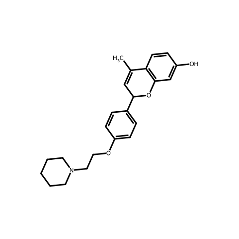 CC1=CC(c2ccc(OCCN3CCCCC3)cc2)Oc2cc(O)ccc21